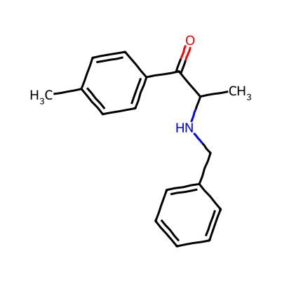 Cc1ccc(C(=O)C(C)NCc2ccccc2)cc1